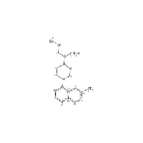 CCOCC(C(=O)O)C1CCC(c2ccnc3ccc(C(F)(F)F)cc23)CC1